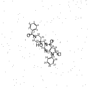 O=C(c1ccccc1)N1CCC(O)(Cn2cnc3c(cc(Cl)n3-c3ccccc3)c2=O)CC1